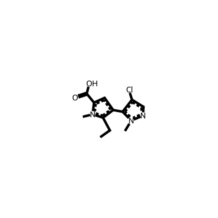 CCc1c(-c2c(Cl)cnn2C)cc(C(=O)O)n1C